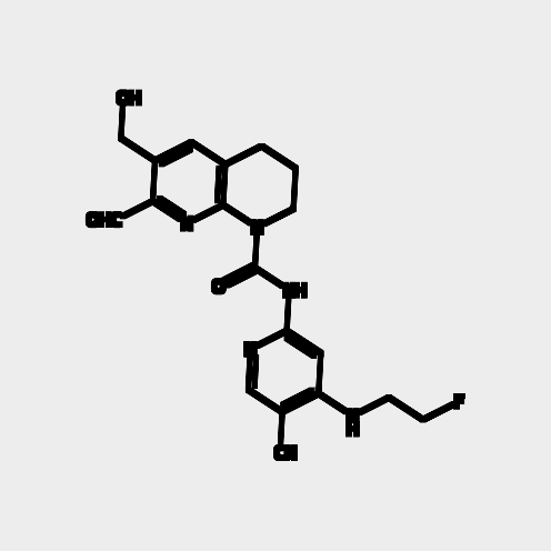 N#Cc1cnc(NC(=O)N2CCCc3cc(CO)c(C=O)nc32)cc1NCCF